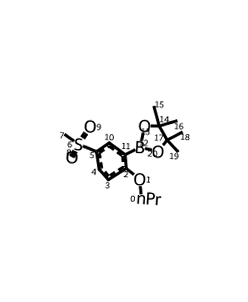 CCCOc1ccc(S(C)(=O)=O)cc1B1OC(C)(C)C(C)(C)O1